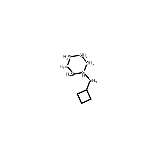 C1CC([SiH2][SiH]2[SiH2][SiH2][SiH2][SiH2][SiH2]2)C1